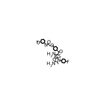 COc1cccc(N(C)C(=O)COc2ccc(C(=O)c3sc(N(c4ccc(F)cc4)C(C)C(N)=O)nc3N)cc2)c1